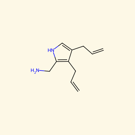 C=CCc1c[nH]c(CN)c1CC=C